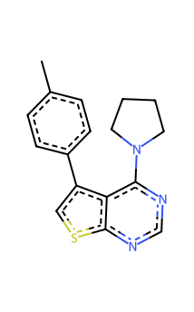 Cc1ccc(-c2csc3ncnc(N4CCCC4)c23)cc1